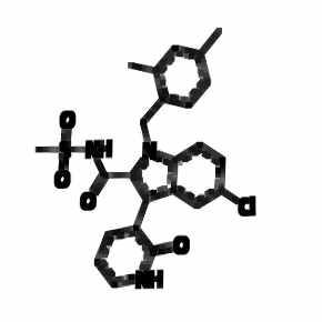 Cc1ccc(Cn2c(C(=O)NS(C)(=O)=O)c(-c3ccc[nH]c3=O)c3cc(Cl)ccc32)c(C)c1